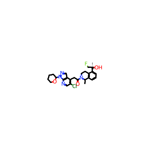 CC1c2cccc([C@](C)(O)CF)c2CCN1C(=O)Cc1c(Cl)cnc2c1cnn2C1CCCCO1